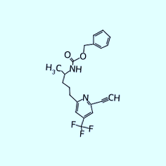 C#Cc1cc(C(F)(F)F)cc(CCCC(C)NC(=O)OCc2ccccc2)n1